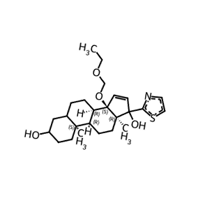 CCOCO[C@@]12C=CC(O)(c3nccs3)[C@@]1(C)CC[C@@H]1[C@H]2CCC2CC(O)CC[C@@]21C